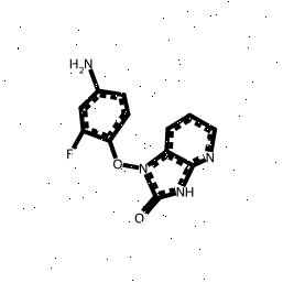 Nc1ccc(On2c(=O)[nH]c3ncccc32)c(F)c1